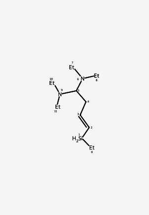 CC[SiH2]C=CCC(N(CC)CC)N(CC)CC